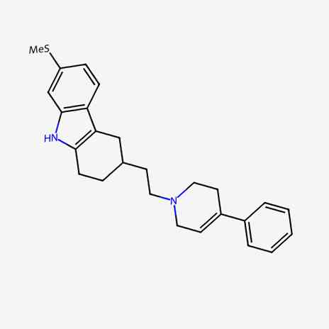 CSc1ccc2c3c([nH]c2c1)CCC(CCN1CC=C(c2ccccc2)CC1)C3